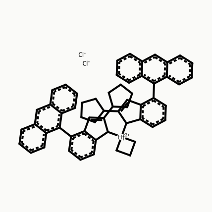 C1=C(C2CCCC2)[CH]([Hf+2]2([CH]3C(C4CCCC4)=Cc4c(-c5c6ccccc6cc6ccccc56)cccc43)[CH2]C[CH2]2)c2cccc(-c3c4ccccc4cc4ccccc34)c21.[Cl-].[Cl-]